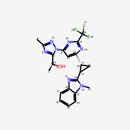 Cc1nc([C@H](C)O)n(-c2cc([C@@H]3CC3c3nc4ccccc4n3C)nc(C(F)(F)F)n2)n1